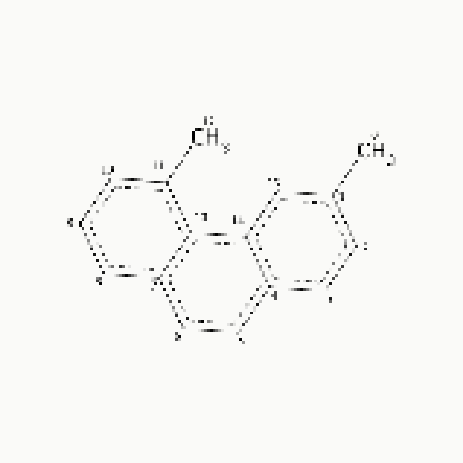 Cc1ccc2ccc3cccc(C)c3c2c1